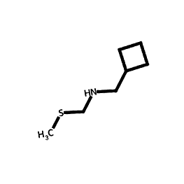 CSCNCC1CCC1